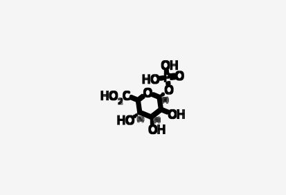 O=C(O)C1O[C@H](OP(=O)(O)O)C(O)[C@@H](O)[C@@H]1O